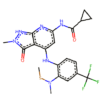 CSN(C)c1cc(C(F)(F)F)ccc1Nc1cc(NC(=O)C2CC2)nc2[nH]n(C)c(=O)c12